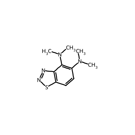 CN(C)c1ccc2snnc2c1N(C)C